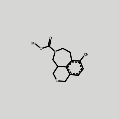 CC(C)(C)OC(=O)N1CCc2c(C#N)ccc3c2C(COC3)C1